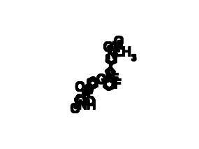 CC1(C(=O)N2CCC(C3CN([C@@H]4[C@@H](Oc5ccc6c(c5)CN(C5CCC(=O)NC5=O)C6=O)CCCC4(F)F)C3)CC2)COC1